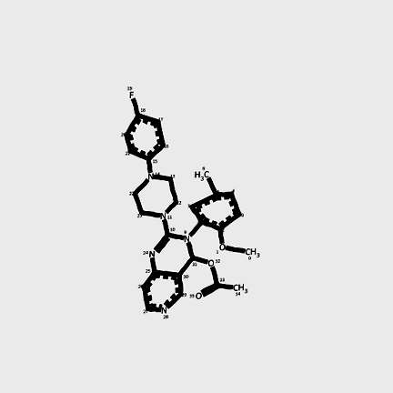 COc1ccc(C)cc1N1C(N2CCN(c3ccc(F)cc3)CC2)=Nc2ccncc2C1OC(C)=O